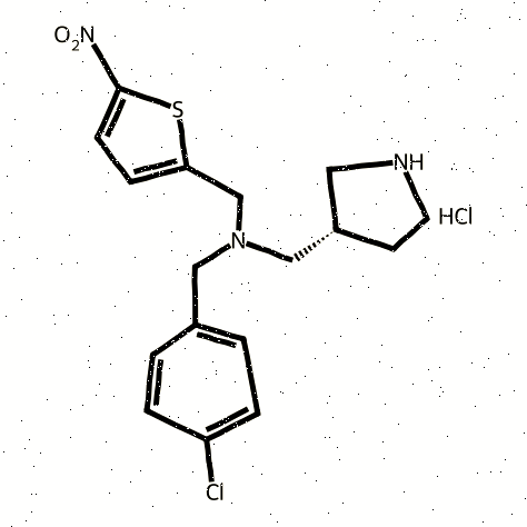 Cl.O=[N+]([O-])c1ccc(CN(Cc2ccc(Cl)cc2)C[C@H]2CCNC2)s1